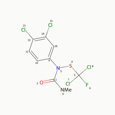 CNC(=O)N(SC(F)(Cl)Cl)c1ccc(Cl)c(Cl)c1